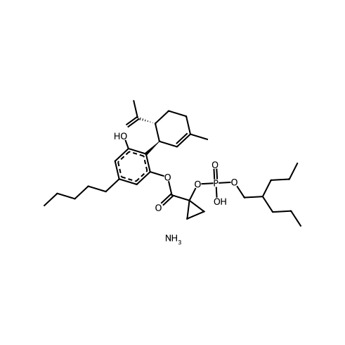 C=C(C)[C@@H]1CCC(C)=C[C@H]1c1c(O)cc(CCCCC)cc1OC(=O)C1(OP(=O)(O)OCC(CCC)CCC)CC1.N